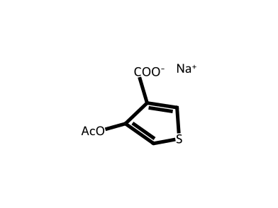 CC(=O)Oc1cscc1C(=O)[O-].[Na+]